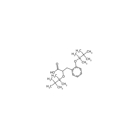 CC(C)(C)[Si](C)(C)Oc1ccccc1CC(O[Si](C)(C)C(C)(C)C)C(=O)O